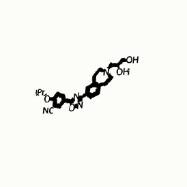 CC(C)Oc1ccc(-c2nc(-c3ccc4c(c3)CCN(C[C@H](O)CO)CC4)no2)cc1C#N